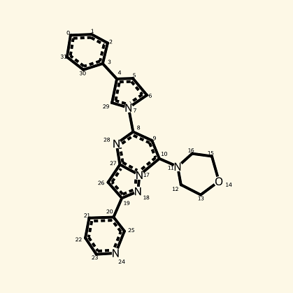 c1ccc(-c2ccn(-c3cc(N4CCOCC4)n4nc(-c5cccnc5)cc4n3)c2)cc1